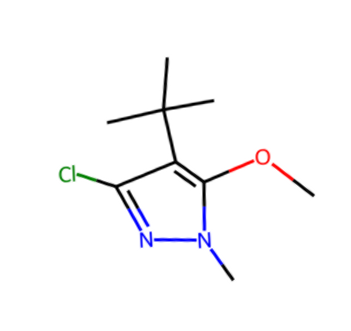 COc1c(C(C)(C)C)c(Cl)nn1C